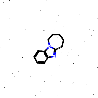 [c]1cccc2c1nc1n2CCCCC1